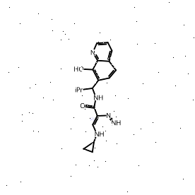 CC(C)C(NC(=O)/C(=C/NC1CC1)N=N)c1ccc2cccnc2c1O